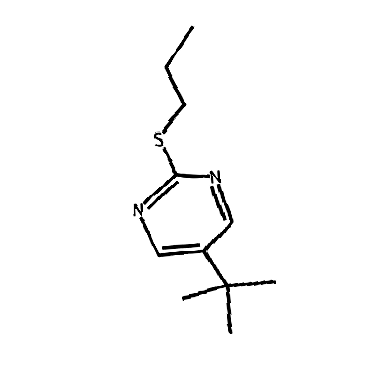 CCCSc1ncc(C(C)(C)C)cn1